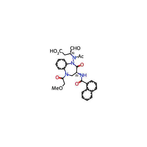 COCC(=O)N1C[C@H](NC(=O)c2cccc3ccccc23)C(=O)N(N(C(C)=O)[C@H](C=O)CC(=O)O)c2ccccc21